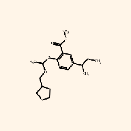 CCC(C)c1ccc(OC(C)OCC2CCOC2)c(C(=O)OC)c1